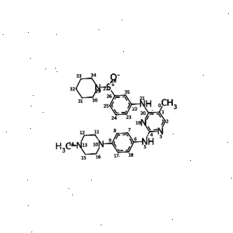 Cc1cnc(Nc2ccc(N3CCN(C)CC3)cc2)nc1Nc1cccc([S+]([O-])N2CCCCC2)c1